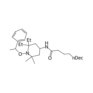 CCCCCCCCCCCCCC(=O)NC1CC(C)(C)N(OC(C)c2ccccc2)C(CC)(CC)C1